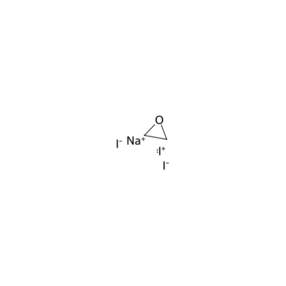 C1CO1.[I+].[I-].[I-].[Na+]